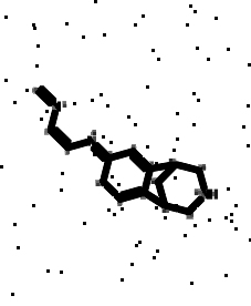 C=N/C=C\N=C1\C=C2C(=CC1)C1CNCC2C1